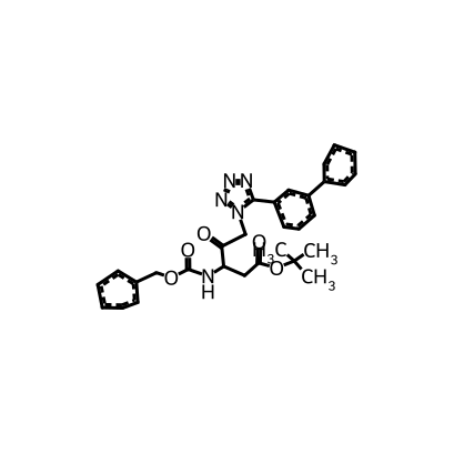 CC(C)(C)OC(=O)CC(NC(=O)OCc1ccccc1)C(=O)Cn1nnnc1-c1cccc(-c2ccccc2)c1